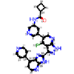 O=C(Nc1cncc(-c2cnc3[nH]nc(-c4nc5c(-c6ccncc6)ccnc5[nH]4)c3c2F)c1)C1CCC1